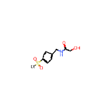 CCS(=O)(=O)c1ccc(CNC(=O)CO)cc1